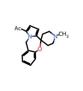 CC(=O)c1ccc2n1Cc1ccccc1OC21CCN(C)CC1